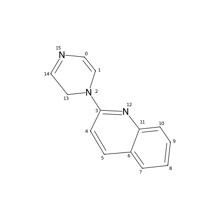 C1=CN(c2ccc3ccccc3n2)CC=N1